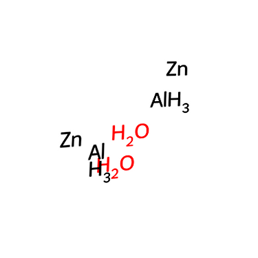 O.O.[AlH3].[AlH3].[Zn].[Zn]